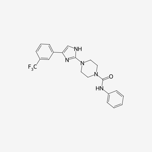 O=C(Nc1ccccc1)N1CCN(c2nc(-c3cccc(C(F)(F)F)c3)c[nH]2)CC1